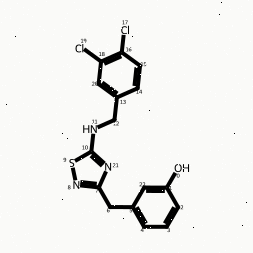 Oc1cccc(Cc2nsc(NCc3ccc(Cl)c(Cl)c3)n2)c1